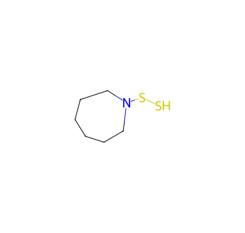 SSN1CCCCCC1